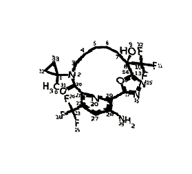 CC1(N2CCCCC[C@](O)(C(F)(F)F)c3nnc(o3)-c3nc(c(C(F)(F)F)cc3N)C2=O)CC1